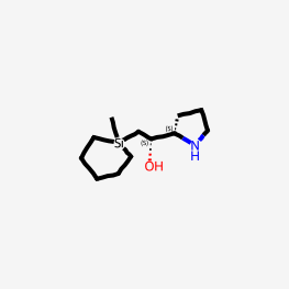 C[Si]1(C[C@@H](O)[C@@H]2CCCN2)CCCCC1